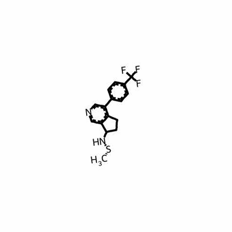 CSNC1CCc2c(-c3ccc(C(F)(F)F)cc3)cncc21